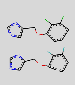 Clc1cccc(OCc2c[nH]cn2)c1Cl.Fc1cccc(OCc2c[nH]cn2)c1F